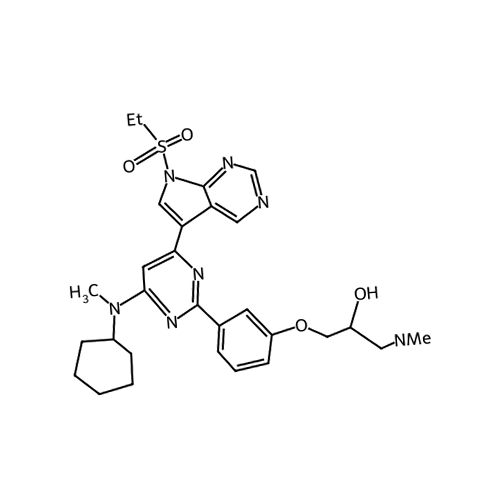 CCS(=O)(=O)n1cc(-c2cc(N(C)C3CCCCC3)nc(-c3cccc(OCC(O)CNC)c3)n2)c2cncnc21